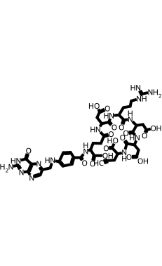 C#CCC(NC(=O)C(CC(=O)O)NC(=O)C(CC(=O)O)NC(=O)C(CCCNC(=N)N)NC(=O)C(CC(=O)O)NC(=O)CCC(NC(=O)c1ccc(NCc2cnc3nc(N)[nH]c(=O)c3n2)cc1)C(=O)O)C(=O)O